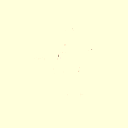 CCCCCC(/C=C/[C@H]1[C@H](COC(C)=O)CC(OC(C)=O)[C@@H]1C/C=C\CCCC(=O)O)OC1CCCCO1